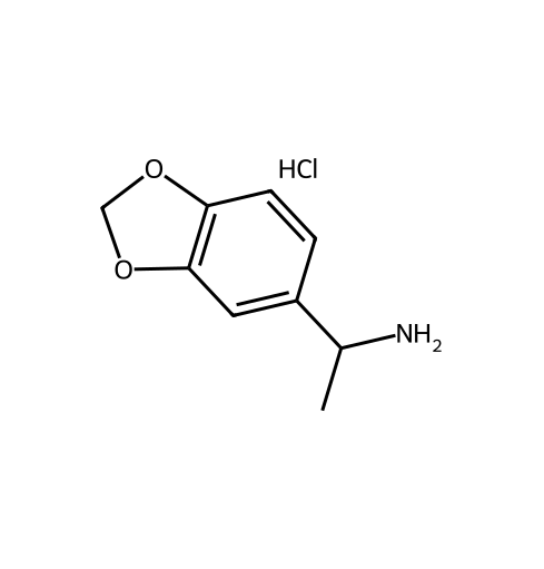 CC(N)c1ccc2c(c1)OCO2.Cl